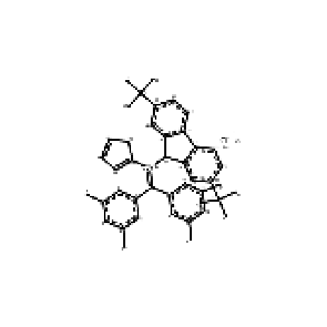 Cc1cc(C)cc([C](c2cc(C)cc(C)c2)=[Zr+2]([C]2=CC=CC2)[CH]2c3cc(C(C)(C)C)ccc3-c3ccc(C(C)(C)C)cc32)c1.[Cl-].[Cl-]